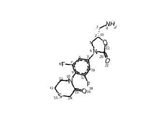 NC[C@H]1CN(c2cc(F)c(N3CCSCC3=O)c(F)c2)C(=O)O1